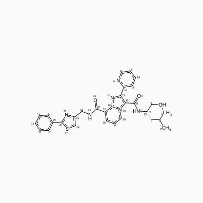 CC(C)C[C@@H](CO)NC(=O)c1c(-c2ccccn2)nc2c(C(=O)NCc3csc(-c4ccccc4)n3)cccn12